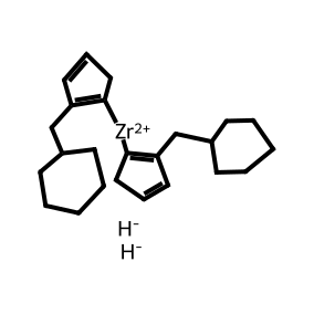 C1=CC(CC2CCCCC2)=[C]([Zr+2][C]2=C(CC3CCCCC3)C=CC2)C1.[H-].[H-]